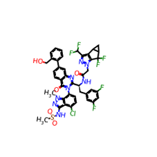 Cn1nc(NS(C)(=O)=O)c2c(Cl)ccc(-n3c([C@H](Cc4cc(F)cc(F)c4)NC(=O)Cn4nc(C(F)F)c5c4C(F)(F)C4CC54)nc4cc(-c5ccccc5CO)ccc4c3=O)c21